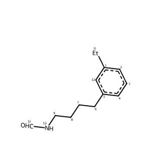 CCc1cccc(CCCCNC=O)c1